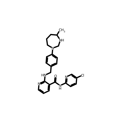 CC1CCCN(c2ccc(CNc3ncccc3C(=O)Nc3ccc(Cl)cn3)cc2)CN1